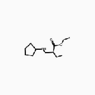 CCOC(=O)C(CC)CNC1CCCC1